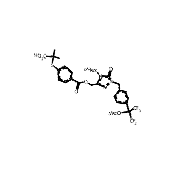 CCCCCCn1c(COC(=O)c2ccc(SC(C)(C)C(=O)O)cc2)nn(Cc2ccc(C(OC)(C(F)(F)F)C(F)(F)F)cc2)c1=O